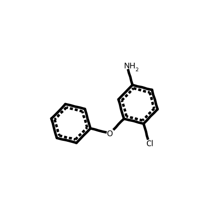 Nc1ccc(Cl)c(Oc2ccccc2)c1